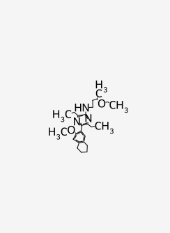 CCOC(C)CCNc1nc(CC)c(-c2cc3c(cc2OC)CCCC3)nc1CC